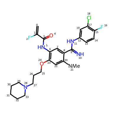 C=C(F)C(=O)Nc1cc(C(=N)Nc2ccc(F)c(Cl)c2)c(NC)cc1OCCCN1CCCCC1